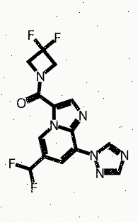 O=C(c1cnc2c(-n3cncn3)cc(C(F)F)cn12)N1CC(F)(F)C1